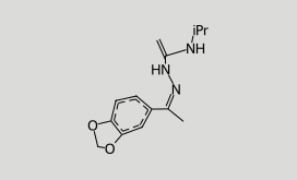 C=C(N/N=C(/C)c1ccc2c(c1)OCO2)NC(C)C